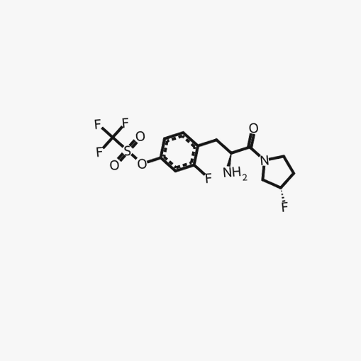 N[C@@H](Cc1ccc(OS(=O)(=O)C(F)(F)F)cc1F)C(=O)N1CC[C@H](F)C1